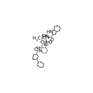 CC(C)(C)[C@H](NC(=O)c1cc2ccccc2[nH]1)C(=O)N1C[C@@H]2C1CCCN2C(=O)c1cccc(-c2ccccc2)c1